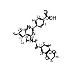 Cc1sc2nc(-c3ccc(C(=O)O)cc3)nc(NCCc3ccc4c(c3)OCCO4)c2c1C